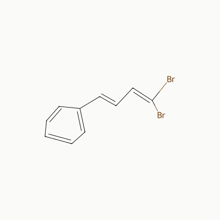 BrC(Br)=CC=Cc1ccccc1